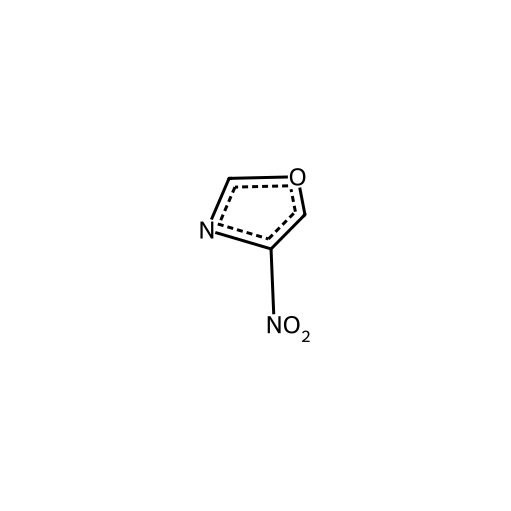 O=[N+]([O-])c1cocn1